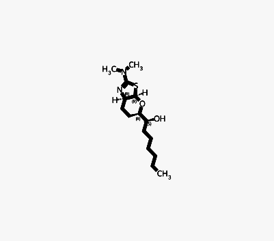 CCCCCC[C@H](O)[C@H]1CC[C@H]2N=C(N(C)C)S[C@H]2O1